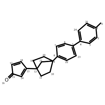 Cc1ccc(-c2ccc(C34CCC(C5=CC(=O)C=C5)(CC3)C4)cc2)cc1